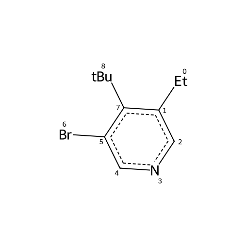 CCc1cncc(Br)c1C(C)(C)C